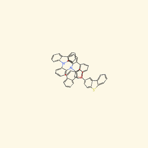 c1ccc(N(c2ccc(-c3ccc4sc5ccccc5c4c3)cc2)c2ccccc2-n2c3ccccc3c3ccccc32)c(-c2cccc3oc4c5ccccc5ccc4c23)c1